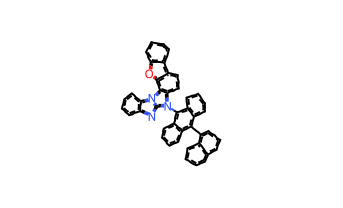 c1ccc2c(-c3c4ccccc4c(-n4c5ccc6c7ccccc7oc6c5n5c6ccccc6nc45)c4ccccc34)cccc2c1